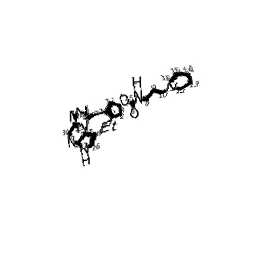 CC[C@@H]1C[C@H](OC(=O)NCCCN2CCCCC2)C[C@@H]1c1nnc2n1C1C=CNC1N=C2